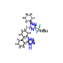 CCCCC(F)(F)c1nc(Cc2ccc(-c3ccccc3-c3nnn[nH]3)cc2)n(C2CCCCC2)n1